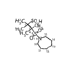 CC(C)(C(C)(C)S(=O)(=O)N1CCCCCC1)S(=O)(=O)O